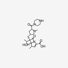 CC1C=C(C(=O)O)N2C(=O)C(SC3CC(C(=O)N4CCNCC4)N(C)C3)(C(C)O)[C@H]12